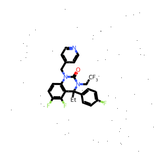 CCC1(c2ccc(F)cc2)c2c(ccc(F)c2F)N(Cc2ccncc2)C(=O)N1CC(F)(F)F